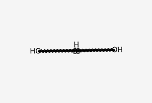 OCCCCCCCCCCCCCCCCCCCCCCONOCCCCCCCCCCCCCCCCCCCCCCO